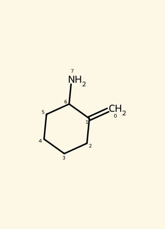 C=C1CCCCC1N